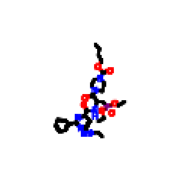 CCCCOC(=O)N1CCN(C(=O)C(CP(=O)(OCC)OCC)NC(=O)c2cc(NCC)nc(-c3ccccc3)n2)CC1